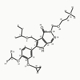 CCC(C)OCc1c(-c2ccc(OC(F)F)c(OC3CC3)c2)[nH]c2cnn(COCC[Si](C)(C)C)c(=O)c12